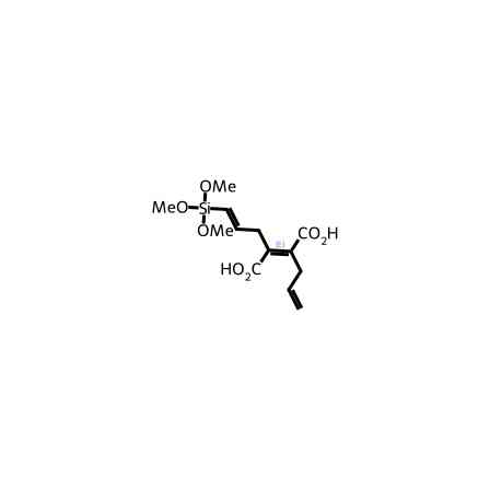 C=CC/C(C(=O)O)=C(/CC=C[Si](OC)(OC)OC)C(=O)O